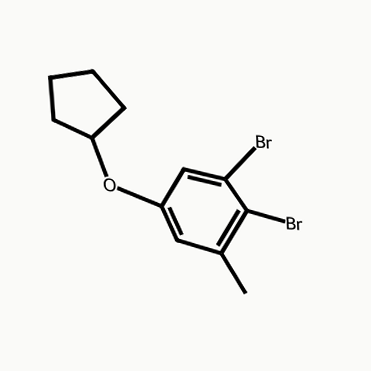 Cc1cc(OC2CCCC2)cc(Br)c1Br